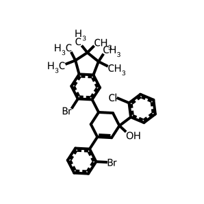 CC1(C)c2cc(Br)c(C3CC(c4ccccc4Br)=CC(O)(c4ccccc4Cl)C3)cc2C(C)(C)C1(C)C